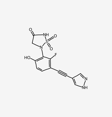 O=C1CN(c2c(O)ccc(C#Cc3cn[nH]c3)c2F)S(=O)(=O)N1